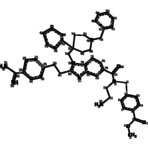 COC(=O)c1ccc(CN(CCN)C(=O)c2ccc3c(c2)nc(CCc2ccc(C(=N)N)cc2)n3CC2(c3ccccc3)CCN(Cc3ccccc3)CC2)cc1